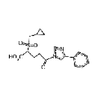 O=C(O)C(C[CH]C(=O)n1cnc(-c2ccccc2)c1)S(=O)(=O)CC1CC1